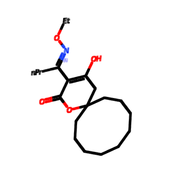 CCC/C(=N\OCC)C1=C(O)CC2(CCCCCCCCC2)OC1=O